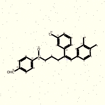 Cc1ccc(/C=C(/CCC[S+]([O-])c2ccc(C=O)cc2)c2cccc(Cl)c2)cc1C